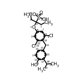 CCC(CC)(Oc1cc(Cl)c(Cc2ccc(O)c(C(C)C)c2)c(Cl)c1)P(=O)(O)O